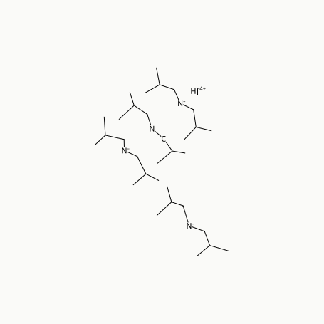 CC(C)C[N-]CC(C)C.CC(C)C[N-]CC(C)C.CC(C)C[N-]CC(C)C.CC(C)C[N-]CC(C)C.[Hf+4]